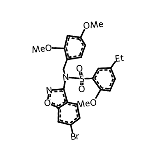 CCc1ccc(OC)c(S(=O)(=O)N(Cc2ccc(OC)cc2OC)c2noc3cc(Br)ccc23)c1